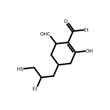 CCC(=O)C1=C(O)CC(CC(CC)CS)CC1C=O